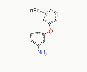 CCCc1cccc(Oc2cccc(N)c2)c1